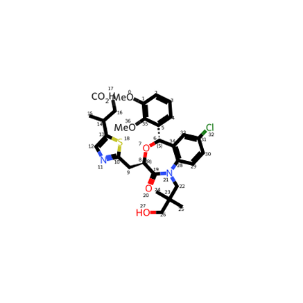 COc1cccc([C@H]2O[C@H](Cc3ncc(C(C)CC(=O)O)s3)C(=O)N(CC(C)(C)CO)c3ccc(Cl)cc32)c1OC